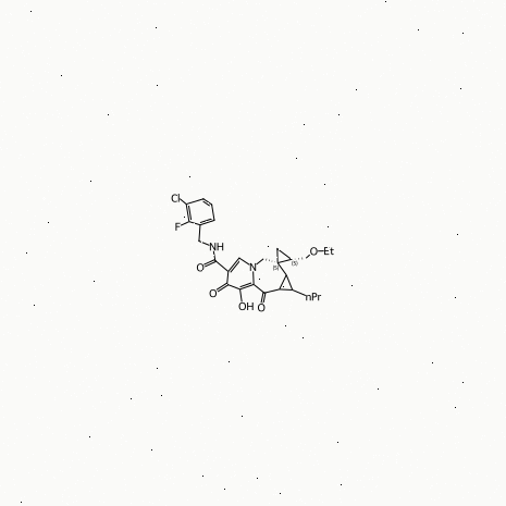 CCCC1C2C(=O)c3c(O)c(=O)c(C(=O)NCc4cccc(Cl)c4F)cn3C[C@@]3(C[C@@H]3COCC)C12